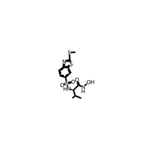 CSc1nc2ccc(S(=O)(=O)N[C@@H](C(=O)NO)C(C)C)cc2s1